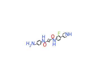 NCc1ccc(NC(=O)C23CC(C(=O)Nc4ccc(C5=CCNCC5)c(F)c4)(C2)C3)cc1